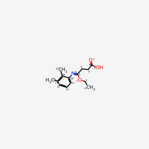 CCOC(CCC(=O)O)=Nc1cccc(C)c1C